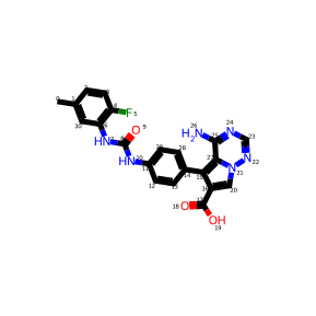 Cc1ccc(F)c(NC(=O)Nc2ccc(-c3c(C(=O)O)cn4ncnc(N)c34)cc2)c1